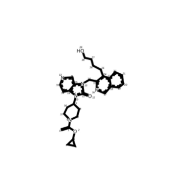 C=C(OC1CC1)N1CCC(n2c(=O)n(Cc3ncc4ccccc4c3CCCCO)c3cnccc32)CC1